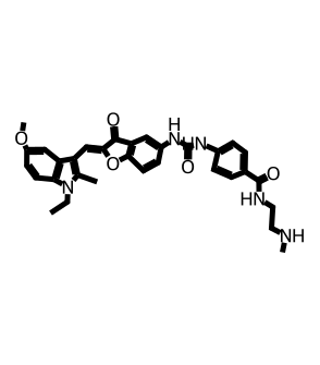 CCn1c(C)c(/C=C2\Oc3ccc(NC(=O)Nc4ccc(C(=O)NCCNC)cc4)cc3C2=O)c2cc(OC)ccc21